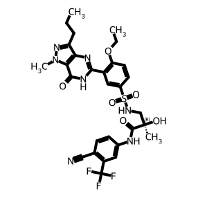 CCCc1nn(C)c2c(=O)[nH]c(-c3cc(S(=O)(=O)NC[C@@](C)(O)C(=O)Nc4ccc(C#N)c(C(F)(F)F)c4)ccc3OCC)nc12